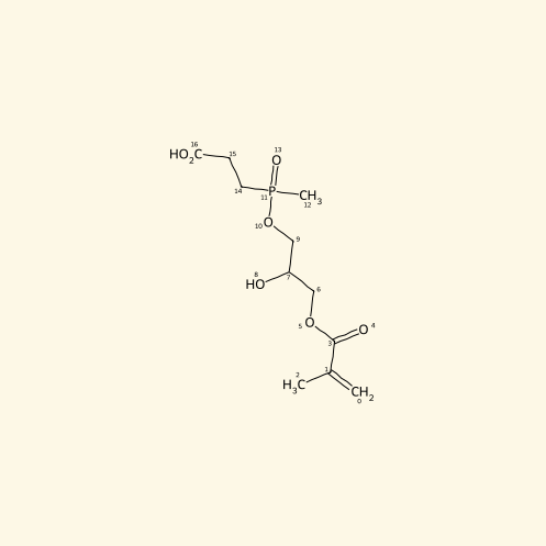 C=C(C)C(=O)OCC(O)COP(C)(=O)CCC(=O)O